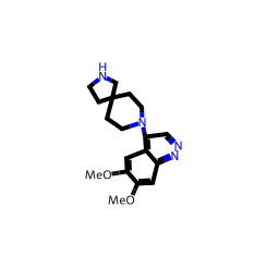 COc1cc2nncc(N3CCC4(CCNC4)CC3)c2cc1OC